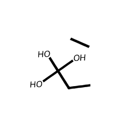 CC.CCC(O)(O)O